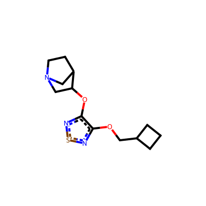 C1CC(COc2nsnc2OC2CN3CCC2C3)C1